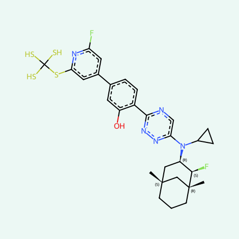 C[C@]12CCC[C@](C)(C1)[C@H](F)[C@H](N(c1cnc(-c3ccc(-c4cc(F)nc(SC(S)(S)S)c4)cc3O)nn1)C1CC1)C2